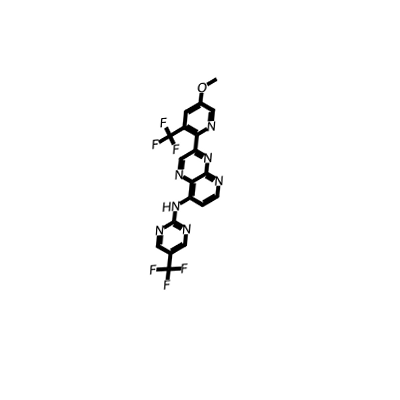 COc1cnc(-c2cnc3c(Nc4ncc(C(F)(F)F)cn4)ccnc3n2)c(C(F)(F)F)c1